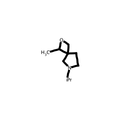 CC(C)N1CCC2(COC2C)C1